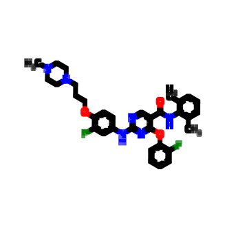 Cc1cccc(C)c1NC(=O)c1cnc(Nc2ccc(OCCCN3CCN(C)CC3)c(F)c2)nc1Oc1ccccc1F